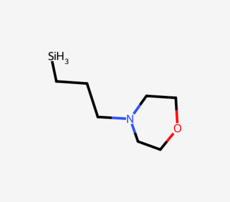 [SiH3]CCCN1CCOCC1